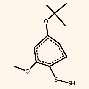 COc1cc(OC(C)(C)C)ccc1SS